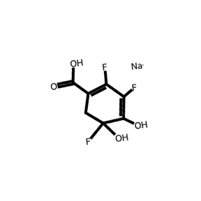 O=C(O)C1=C(F)C(F)=C(O)C(O)(F)C1.[Na]